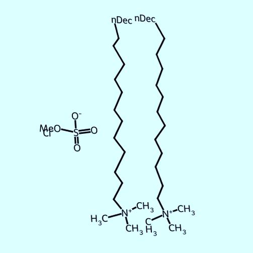 CCCCCCCCCCCCCCCCCCCCCC[N+](C)(C)C.CCCCCCCCCCCCCCCCCCCCCC[N+](C)(C)C.COS(=O)(=O)[O-].[Cl-]